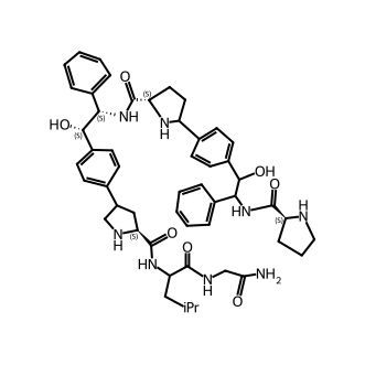 CC(C)CC(NC(=O)[C@@H]1CC(c2ccc([C@H](O)[C@@H](NC(=O)[C@@H]3CCC(c4ccc(C(O)C(NC(=O)[C@@H]5CCCN5)c5ccccc5)cc4)N3)c3ccccc3)cc2)CN1)C(=O)NCC(N)=O